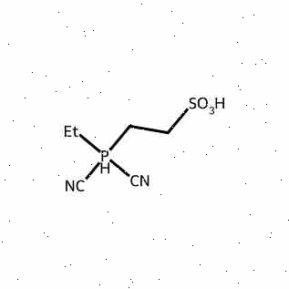 CC[PH](C#N)(C#N)CCS(=O)(=O)O